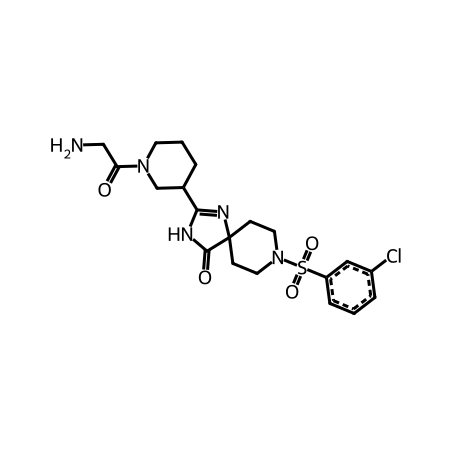 NCC(=O)N1CCCC(C2=NC3(CCN(S(=O)(=O)c4cccc(Cl)c4)CC3)C(=O)N2)C1